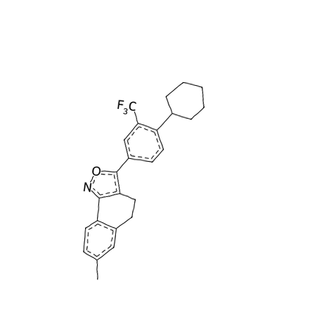 Cc1ccc2c(c1)CCc1c-2noc1-c1ccc(C2CCCCC2)c(C(F)(F)F)c1